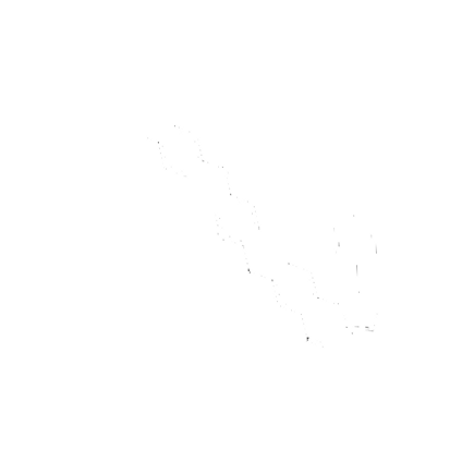 Cc1cc(-c2ccccc2)n(-c2ccc(C(=O)c3ccc(N(C)c4ccc(Cl)cc4)cn3)cc2C(=O)O)n1